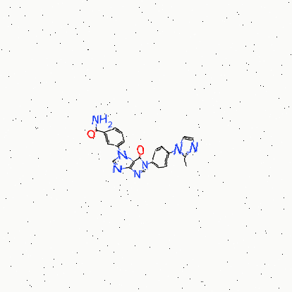 Cc1nccn1-c1ccc(-n2cnc3ncn(-c4cccc(C(N)=O)c4)c3c2=O)cc1